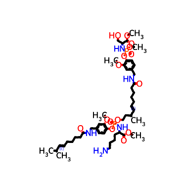 COC(=O)C(CO)NP(=O)(OC)Oc1ccc(CNC(=O)CCCC/C=C/C(C)CCOP(=O)(NC(CCCCN)C(=O)OC)Oc2ccc(CNC(=O)CCCC/C=C/C(C)C)cc2OC)cc1OC